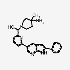 CC1(N)CCN(C(O)c2cccc(-c3cnc4[nH]c(-c5ccccc5)cc4c3)n2)CC1